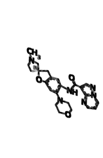 CN1CC[C@@]2(Cc3cc(NC(=O)c4cnn5cccnc45)c(N4CCOCC4)cc3O2)C1